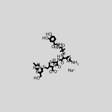 Cc1nc2nc(CO)cc(SCC3=C(C(=O)[O-])N4C(=O)C(NC(=O)C(=NOC(C)(C)C(=O)NNC(=O)c5ccc(O)c(O)c5)c5csc(N)n5)[C@@H]4SC3)n2n1.[Na+]